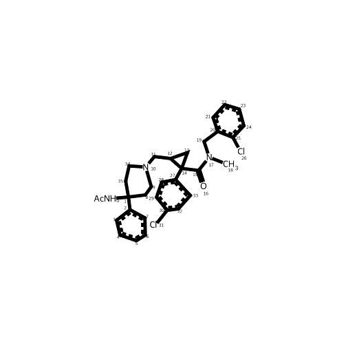 CC(=O)NC1(c2ccccc2)CCN(CC2CC2(C(=O)N(C)Cc2ccccc2Cl)c2ccc(Cl)cc2)CC1